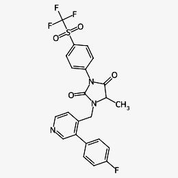 CC1C(=O)N(c2ccc(S(=O)(=O)C(F)(F)F)cc2)C(=O)N1Cc1ccncc1-c1ccc(F)cc1